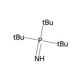 CC(C)(C)P(=N)(C(C)(C)C)C(C)(C)C